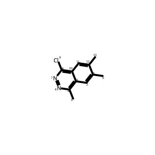 Cc1cc2c(C)nnc(Cl)c2cc1C